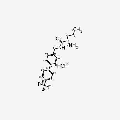 CCC[C@H](N)C(=O)NCc1ccc(-c2ccc(C(F)(F)F)cc2)cc1.Cl